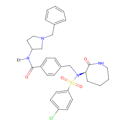 CCN(C(=O)c1ccc(CN([C@@H]2CCCCNC2=O)S(=O)(=O)c2ccc(Cl)cc2)cc1)C1CCN(Cc2ccccc2)C1